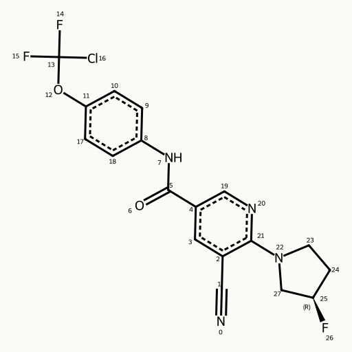 N#Cc1cc(C(=O)Nc2ccc(OC(F)(F)Cl)cc2)cnc1N1CC[C@@H](F)C1